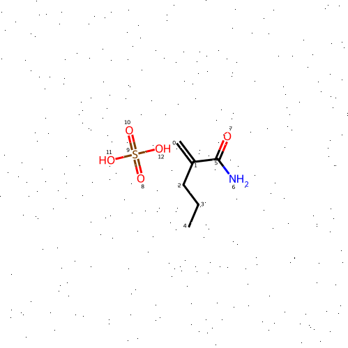 C=C(CCC)C(N)=O.O=S(=O)(O)O